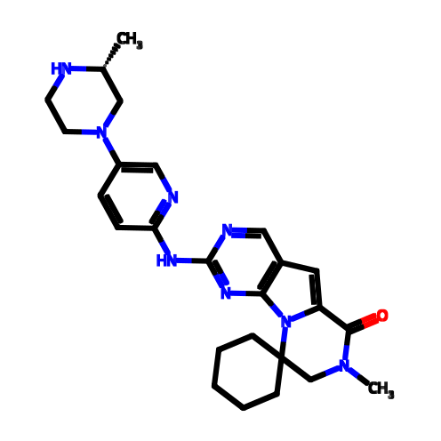 C[C@@H]1CN(c2ccc(Nc3ncc4cc5n(c4n3)C3(CCCCC3)CN(C)C5=O)nc2)CCN1